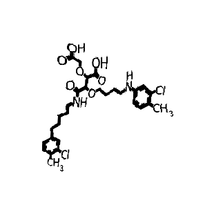 Cc1ccc(CCCCCNC(=O)C(OCCCCNc2ccc(C)c(Cl)c2)C(OCC(=O)O)C(=O)O)cc1Cl